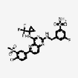 CS(=O)(=O)c1cc(-c2ccc3nc(NCc4cc(F)cc(S(N)(=O)=O)c4)nc(NC4(C(F)(F)F)CC4)c3n2)ccc1Cl